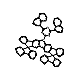 c1ccc2c(c1)-c1ccccc1C21c2ccccc2-c2cc3c(cc21)c1cc2c(cc1n3-c1nc(-c3cccc4ccccc34)nc(-c3cccc4ccccc34)n1)-c1ccccc1C21c2ccccc2-c2ccccc21